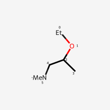 CCOC(C)C[N]C